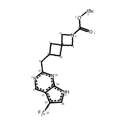 CC(C)(C)OC(=O)N1CC2(CC(Cc3ncc4c(C(F)(F)F)c[nH]c4n3)C2)C1